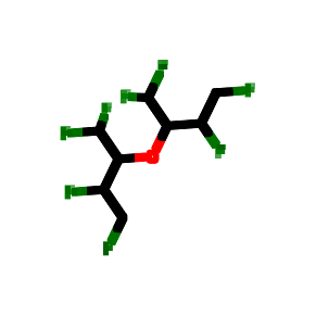 FCC(F)C(OC(C(F)F)C(F)CF)C(F)F